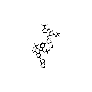 CO[C@@H](C)c1ncc(N2CCN3CCOCC3C2)cc1-c1c(CC(C)(C)COC(C)=O)c2cc(N3CCOC(CC(NC(=O)OC(C)(C)C)C(=O)N4CCCC(C(=O)O)N4)C3)ccc2n1CC(F)(F)F